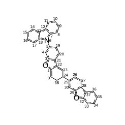 C1=c2oc3cc(-n4c5ccccc5c5ccccc54)ccc3c2=CC(c2ccc3c(c2)oc2ccccc23)C1